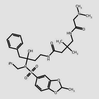 CC(C)CN(C(O)(CCNC(=O)CC(C)(C)CNC(=O)CN(C)C)Cc1ccccc1)S(=O)(=O)c1ccc2c(c1)OC(C)O2